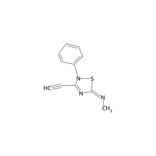 C#Cc1nc(=NC)sn1-c1ccccc1